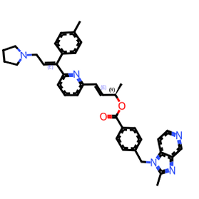 Cc1ccc(/C(=C\CN2CCCC2)c2cccc(/C=C/[C@@H](C)OC(=O)c3ccc(Cn4c(C)nc5cnccc54)cc3)n2)cc1